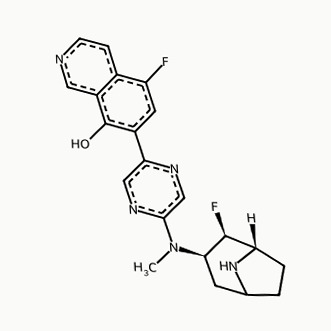 CN(c1cnc(-c2cc(F)c3ccncc3c2O)cn1)[C@@H]1CC2CC[C@H](N2)[C@@H]1F